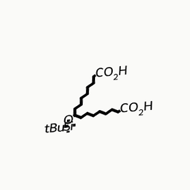 CC(C)(C)[Si](C)(C)OC(CCCCCCCC(=O)O)CCCCCCCC(=O)O